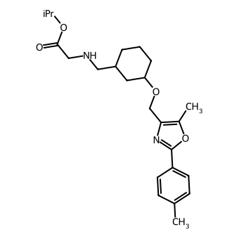 Cc1ccc(-c2nc(COC3CCCC(CNCC(=O)OC(C)C)C3)c(C)o2)cc1